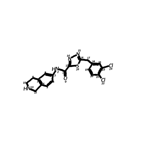 O=C(Nc1ccc2c(c1)CCNC2)c1nnc(Cc2ccc(Cl)c(Cl)c2)s1